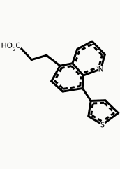 O=C(O)CCc1ccc(-c2ccsc2)c2ncccc12